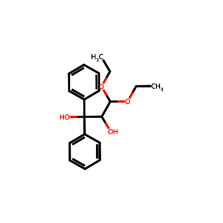 CCOC(OCC)C(O)C(O)(c1ccccc1)c1ccccc1